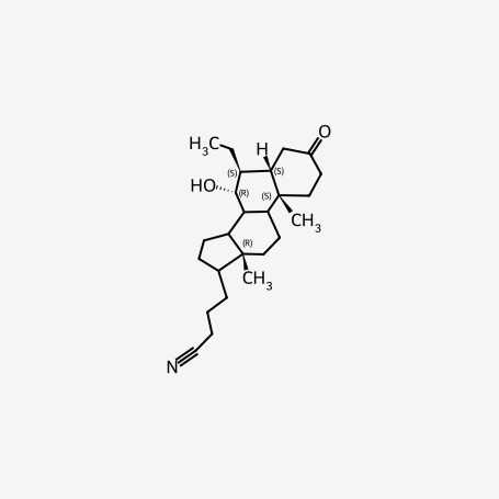 CC[C@@H]1[C@@H](O)C2C3CCC(CCCC#N)[C@@]3(C)CCC2[C@@]2(C)CCC(=O)C[C@@H]12